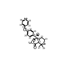 COC(=O)C1N(S(=O)(=O)c2ccc(Oc3ccncc3)cc2)CCSC1(C)C